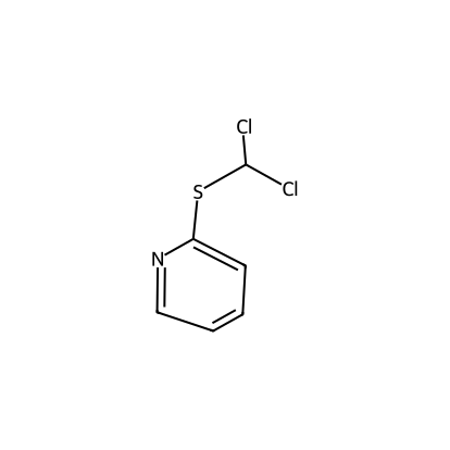 ClC(Cl)Sc1ccccn1